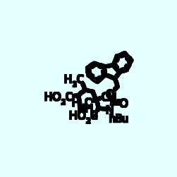 CCCCN(C(=O)OCC1c2ccccc2-c2ccccc21)C(C(=O)O)C(C)(C)CC(C)C(N)C(=O)O